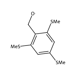 CSc1cc(SC)c(C[O])c(SC)c1